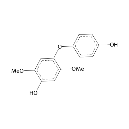 COc1cc(Oc2ccc(O)cc2)c(OC)cc1O